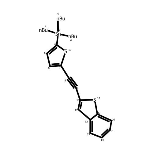 CCC[CH2][Sn]([CH2]CCC)([CH2]CCC)[c]1ccc(C#Cc2cc3ccccc3s2)s1